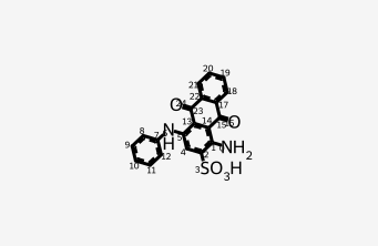 Nc1c(S(=O)(=O)O)cc(Nc2ccccc2)c2c1C(=O)c1ccccc1C2=O